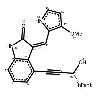 CCCCC[C@@H](O)C#Cc1cccc2c1/C(=C/c1[nH]ccc1OC)C(=O)N2